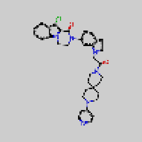 O=C(Cn1ccc2ccc(N3CCn4c(c(Cl)c5ccccc54)C3=O)cc21)N1CCC2(CC1)CCN(c1ccncc1)CC2